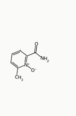 Cc1cc[c]c(C(N)=O)[n+]1[O-]